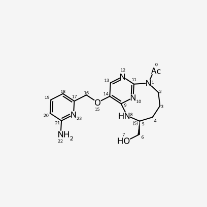 CC(=O)N1CCC[C@@H](CO)Nc2nc1ncc2OCc1cccc(N)n1